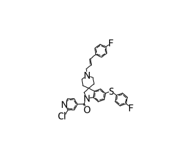 O=C(c1ccnc(Cl)c1)N1CC2(CCN(CC=Cc3ccc(F)cc3)CC2)c2cc(Sc3ccc(F)cc3)ccc21